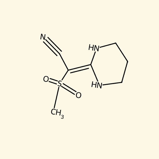 CS(=O)(=O)C(C#N)=C1NCCCN1